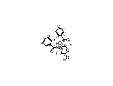 CO[C@H]1C[C@@](C)(NC(=O)c2ccccc2)[C@H](OC(=O)c2ccccc2)[C@H](C)O1